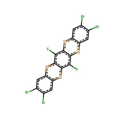 Fc1c2sc3cc(Br)c(Br)cc3sc2c(F)c2sc3cc(Br)c(Br)cc3sc12